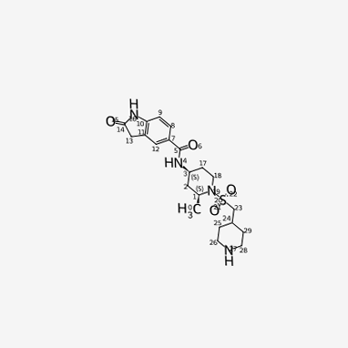 C[C@H]1C[C@@H](NC(=O)c2ccc3c(c2)CC(=O)N3)CCN1S(=O)(=O)CC1CCNCC1